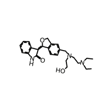 CCN(CC)CCN(CCO)Cc1ccc2c(c1)COC2=C1C(=O)Nc2ccccc21